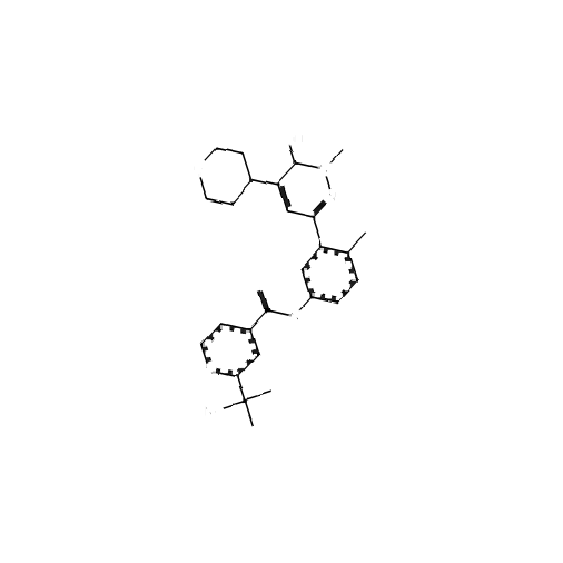 Cc1ccc(NC(=O)c2ccnc(C(C)(C)C#N)c2)cc1C1=NN(C)C(O)C(C2CCOCC2)=C1